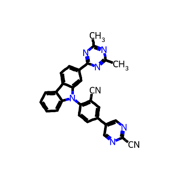 Cc1nc(C)nc(-c2ccc3c4ccccc4n(-c4ccc(-c5cnc(C#N)nc5)cc4C#N)c3c2)n1